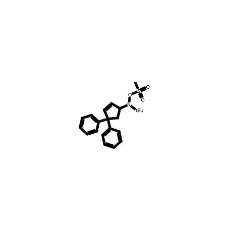 CC(C)(C)N(OS(C)(=O)=O)C1C=CC(c2ccccc2)(c2ccccc2)C1